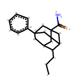 CCCC1C2CC3(C(N)=S)CC1CC(c1ccccc1)(C2)C3